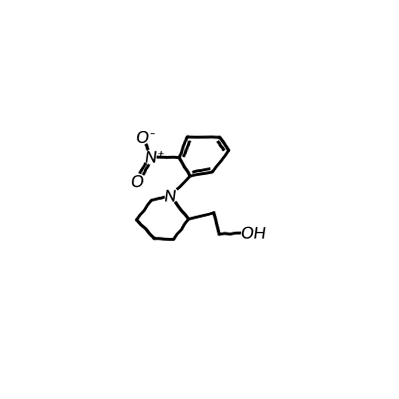 O=[N+]([O-])c1ccccc1N1CCCCC1CCO